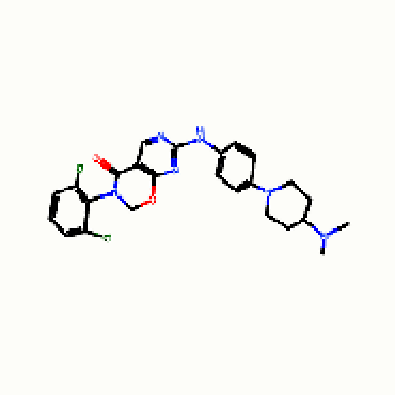 CN(C)C1CCN(c2ccc(Nc3ncc4c(n3)OCN(c3c(Cl)cccc3Cl)C4=O)cc2)CC1